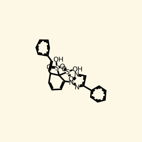 O=S(=O)(O)C1(S(=O)(=O)O)C(n2ncc(-c3ccccc3)n2)=CC=CC1C=Cc1ccccc1